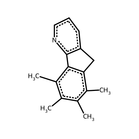 Cc1c(C)c(C)c2c(c1C)Cc1cccnc1-2